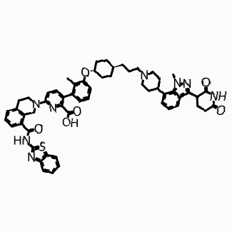 Cc1c(O[C@H]2CC[C@H](CCCN3CCC(c4cccc5c(C6CCC(=O)NC6=O)nn(C)c45)CC3)CC2)cccc1-c1ccc(N2CCc3cccc(C(=O)Nc4nc5ccccc5s4)c3C2)nc1C(=O)O